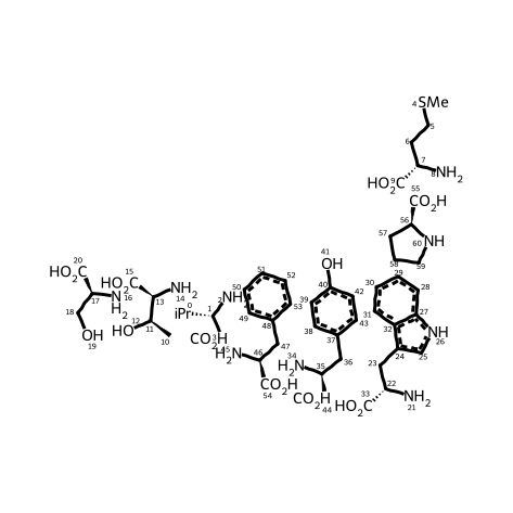 CC(C)[C@H](N)C(=O)O.CSCC[C@H](N)C(=O)O.C[C@@H](O)[C@H](N)C(=O)O.N[C@@H](CO)C(=O)O.N[C@@H](Cc1c[nH]c2ccccc12)C(=O)O.N[C@@H](Cc1ccc(O)cc1)C(=O)O.N[C@@H](Cc1ccccc1)C(=O)O.O=C(O)[C@@H]1CCCN1